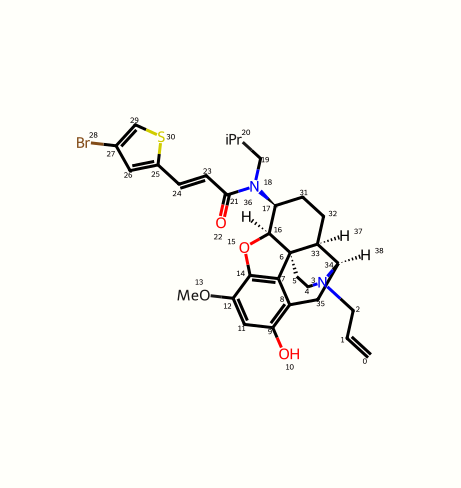 C=CCN1CC[C@]23c4c5c(O)cc(OC)c4O[C@H]2[C@@H](N(CC(C)C)C(=O)/C=C/c2cc(Br)cs2)CC[C@H]3[C@H]1C5